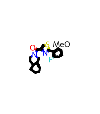 COc1cccc(F)c1-c1nc(C(=O)N2CCC3CCCC=C3C2)cs1